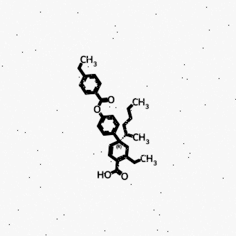 CCCCC(C)[C@@]1(c2ccc(OC(=O)c3ccc(CC)cc3)cc2)C=CC(C(=O)O)=C(CC)C1